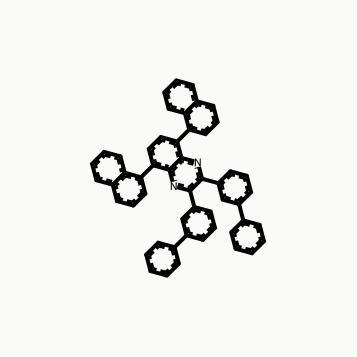 c1ccc(-c2cccc(-c3nc4c(-c5cccc6ccccc56)ccc(-c5cccc6ccccc56)c4nc3-c3cccc(-c4ccccc4)c3)c2)cc1